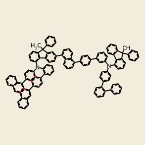 CC1(c2ccccc2)c2ccccc2-c2c(N(c3ccc(-c4ccccc4-c4ccccc4)cc3)c3cccc(-c4ccc(-c5cccc6c(-c7ccc8c(c7)C(C)(c7ccccc7)c7cccc(N(c9ccc(-c%10cccc%11ccccc%10%11)cc9)c9ccccc9-c9ccc(-c%10ccc%11ccccc%11c%10)cc9)c7-8)cccc56)cc4)c3)cccc21